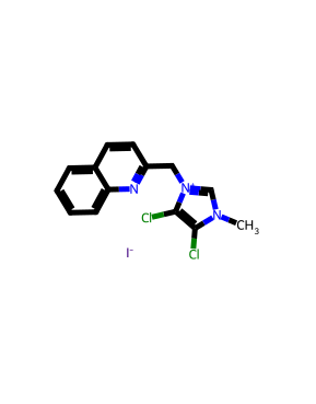 Cn1c[n+](Cc2ccc3ccccc3n2)c(Cl)c1Cl.[I-]